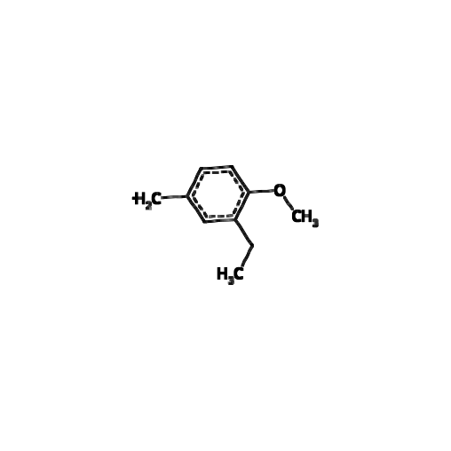 [CH2]c1ccc(OC)c(CC)c1